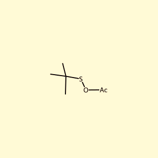 CC(=O)OSC(C)(C)C